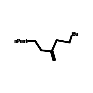 [CH2]CCCCCCC(=C)CCC(C)CC